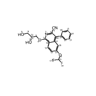 N#Cc1nc(OC[C@@H](O)CO)c2ccc(OC(F)F)cc2c1-c1ccccc1